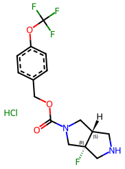 Cl.O=C(OCc1ccc(OC(F)(F)F)cc1)N1C[C@@H]2CNC[C@@]2(F)C1